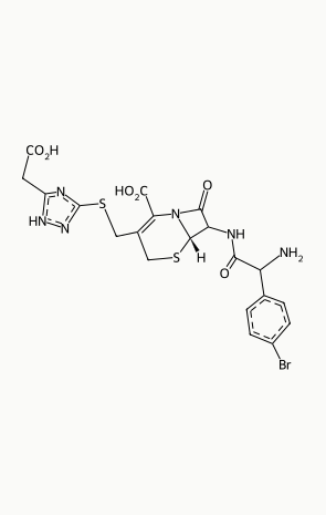 NC(C(=O)NC1C(=O)N2C(C(=O)O)=C(CSc3n[nH]c(CC(=O)O)n3)CS[C@@H]12)c1ccc(Br)cc1